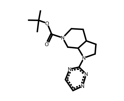 CC(C)(C)OC(=O)N1CCC2CCN(c3nccnn3)C2C1